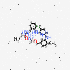 C=CC(=O)NCc1ccccc1Nc1nc(Nc2cc(COCN)ccc2C)ncc1Cl